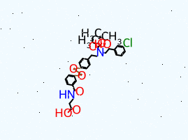 CC(C)(C)OC(=O)N(CCc1ccc(S(=O)(=O)c2cccc(C(=O)NCCC(=O)O)c2)cc1)C[C@@H](O)c1cccc(Cl)c1